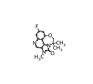 Cn1c(=O)n2c3c4c(cc(F)cc4ncc31)OCC2(C)C